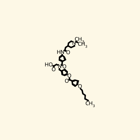 CCCCCCCOc1ccc(C(=O)Oc2ccc(CN(CC(=O)O)C(=O)c3ccc(NC(=O)CC4CCN(C(C)C)CC4)cc3)cc2)cc1